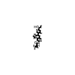 CCC(O)c1cc(C)c(-c2cc3cnc(NC(=O)C4CC4(F)F)cc3n3ccnc23)cn1